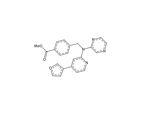 COC(=O)c1ccc(CN(c2cnccn2)c2cc(-c3ccoc3)ccn2)cc1